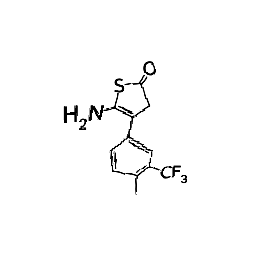 Cc1ccc(C2=C(N)SC(=O)C2)cc1C(F)(F)F